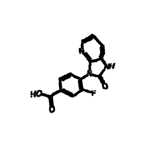 O=C(O)c1ccc(-n2c(=O)[nH]c3cccnc32)c(F)c1